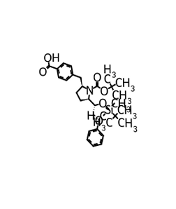 CC(C)(C)OC(=O)N1[C@H](Cc2ccc(C(=O)O)cc2)CC[C@@H]1[C@@H](COc1ccccc1)O[Si](C)(C)C(C)(C)C